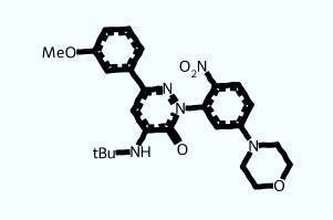 COc1cccc(-c2cc(NC(C)(C)C)c(=O)n(-c3cc(N4CCOCC4)ccc3[N+](=O)[O-])n2)c1